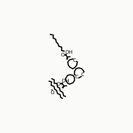 C1CCCCCCCCC1.C1CCCCCCCCC1.C1CCCCCCCCC1.C=C(C)C(=O)O.C=C(C)C(=O)O.CCCCCCCCCC.CCCCCCCCCC.CCCCCCCCCC.COC